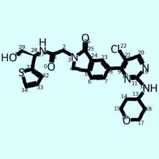 O=C(CN1Cc2ccc(-c3nc(NC4CCOCC4)ncc3Cl)cc2C1=O)N[C@H](CO)c1cccs1